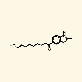 C=C1Nc2ccc(C(=O)CSCCCCCCO)cc2O1